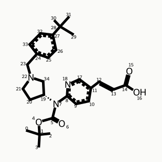 CC(C)(C)OC(=O)N(c1ccc(C=CC(=O)O)cn1)[C@@H]1CCN(Cc2ccc(C(C)(C)C)cc2)C1